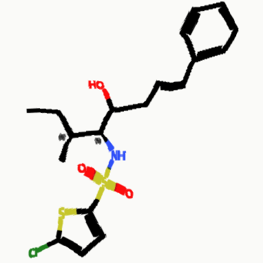 CC[C@H](C)[C@H](NS(=O)(=O)c1ccc(Cl)s1)C(O)CC=Cc1ccccc1